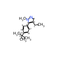 CCc1cnn(C)c1-c1ccc(C(C)(C)C)cc1